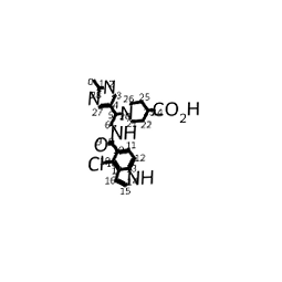 Cc1ncc(C(CNC(=O)c2ccc3[nH]ccc3c2Cl)N2CCC(C(=O)O)CC2)cn1